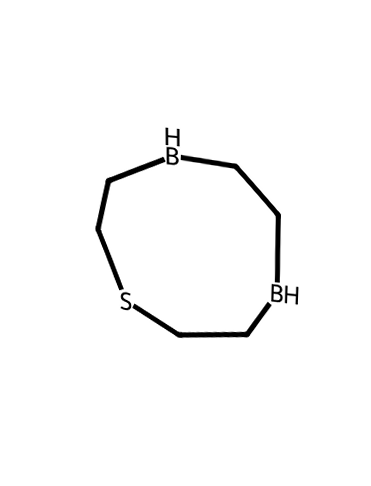 B1CCBCCSCC1